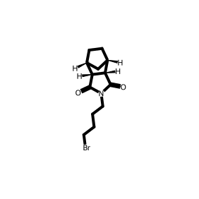 O=C1[C@@H]2[C@@H]3CC[C@@H](C3)[C@@H]2C(=O)N1CCCCBr